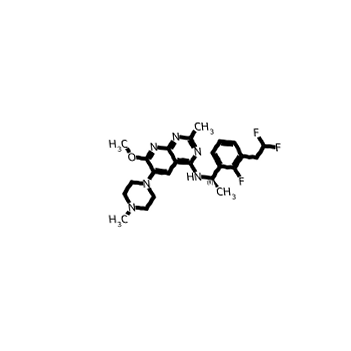 COc1nc2nc(C)nc(N[C@H](C)c3cccc(CC(F)F)c3F)c2cc1N1CCN(C)CC1